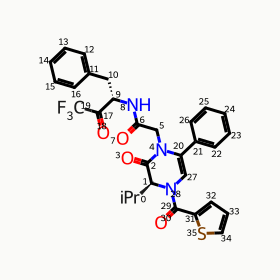 CC(C)[C@H]1C(=O)N(CC(=O)N[C@@H](Cc2ccccc2)C(=O)C(F)(F)F)C(c2ccccc2)=CN1C(=O)c1cccs1